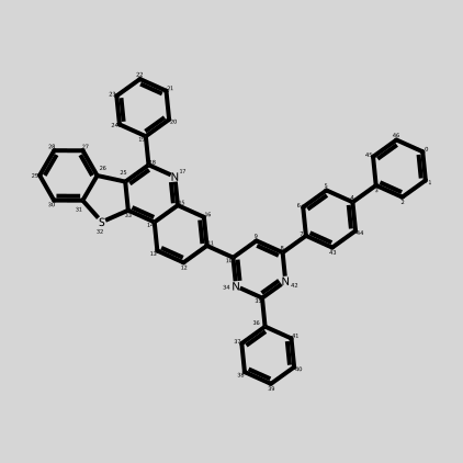 c1ccc(-c2ccc(-c3cc(-c4ccc5c(c4)nc(-c4ccccc4)c4c6ccccc6sc54)nc(-c4ccccc4)n3)cc2)cc1